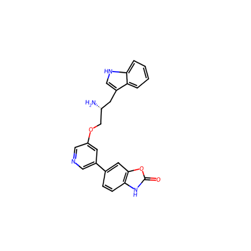 N[C@@H](COc1cncc(-c2ccc3[nH]c(=O)oc3c2)c1)Cc1c[nH]c2ccccc12